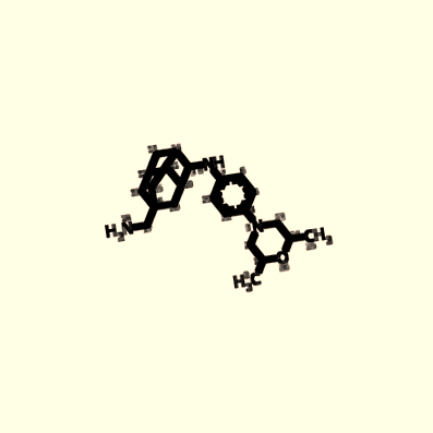 CC1CN(c2ccc(NC3C4CC5CC3CC(CN)(C5)C4)cc2)CC(C)O1